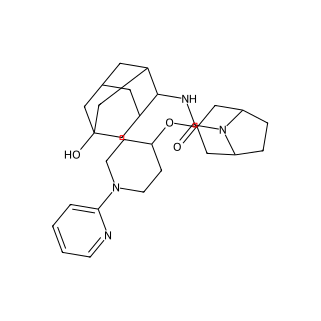 O=C(NC1C2CC3CC1CC(O)(C3)C2)N1C2CCC1CC(OC1CCN(c3ccccn3)CC1)C2